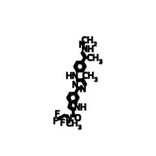 C=NN/C=C(\C)c1ccc(Nc2nc(-c3ccc4cc(C(=O)N(C)CC(F)(F)F)[nH]c4c3)ncc2C)cc1